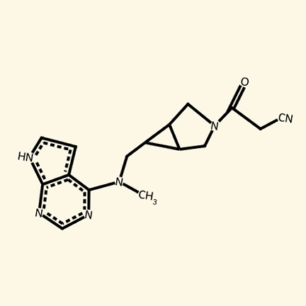 CN(CC1C2CN(C(=O)CC#N)CC21)c1ncnc2[nH]ccc12